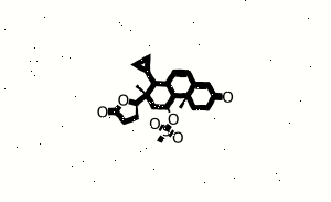 C[C@]12CCC(=O)C=C1C=CC1C2[C@H](OS(C)(=O)=O)C[C@](C)([C@H]2CCC(=O)O2)C1C1CC1